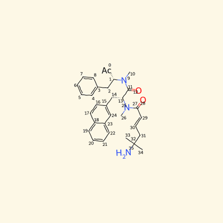 CC(=O)[C@@H](Cc1ccccc1)N(C)C(=O)[C@@H](Cc1ccc2ccccc2c1)N(C)C(=O)/C=C/CC(C)(C)N